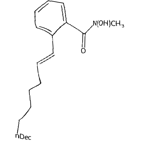 CCCCCCCCCCCCCC/C=C/c1ccccc1C(=O)N(C)O